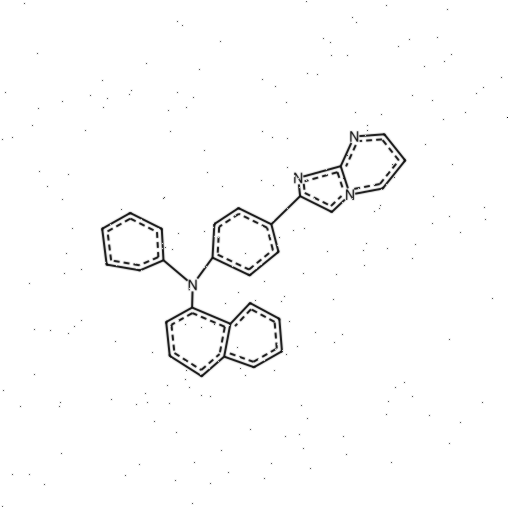 c1ccc(N(c2ccc(-c3cn4cccnc4n3)cc2)c2cccc3ccccc23)cc1